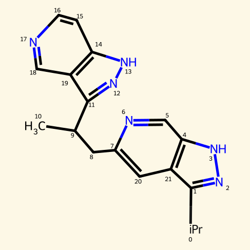 CC(C)c1n[nH]c2cnc(CC(C)c3n[nH]c4ccncc34)cc12